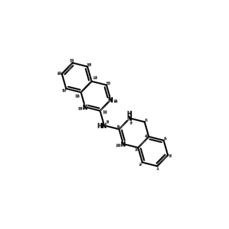 c1ccc2c(c1)CNC(Nc1ncc3ccccc3n1)=N2